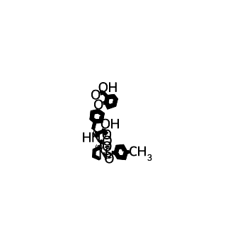 Cc1ccc(S(=O)(=O)N2CCC[C@H]2C(=O)N[C@@H](Cc2ccc(Oc3ccccc3C(=O)O)cc2)C(=O)O)cc1